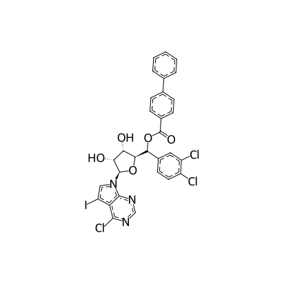 O=C(OC(c1ccc(Cl)c(Cl)c1)[C@H]1O[C@@H](n2cc(I)c3c(Cl)ncnc32)[C@H](O)[C@@H]1O)c1ccc(-c2ccccc2)cc1